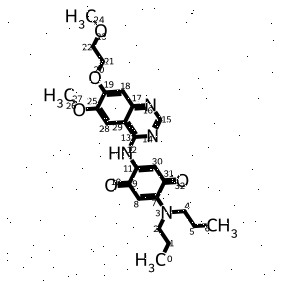 CCCN(CCC)C1=CC(=O)C(Nc2ncnc3cc(OCCOC)c(OC)cc23)=CC1=O